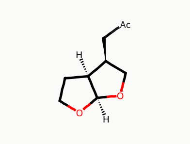 CC(=O)C[C@H]1CO[C@H]2OCC[C@@H]12